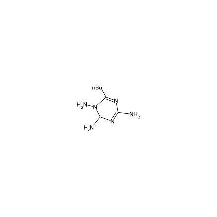 CCCCC1=NC(N)=NC(N)N1N